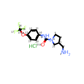 Cl.NCC1CCN(C(=O)Nc2ccc(OC(F)(F)F)cc2)C1